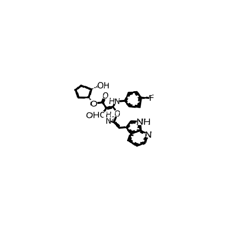 N/C(=C/c1c[nH]c2ncccc12)O/C(Nc1ccc(F)cc1)=C(\C=O)C(=O)O[C@@H]1CCC[C@@H]1O